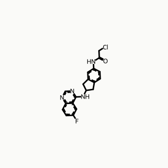 O=C(CCl)Nc1ccc2c(c1)CC(Nc1ncnc3ccc(F)cc13)C2